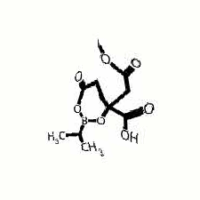 CC(C)B1OC(=O)CC(CC(=O)OI)(C(=O)O)O1